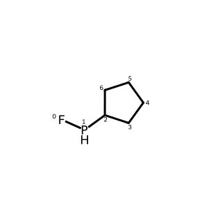 FPC1CCCC1